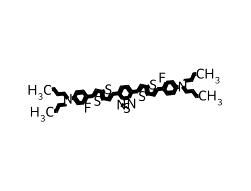 CCCCN(CCCC)c1ccc(-c2cc3sc(-c4ccc(-c5cc6sc(-c7ccc(N(CCCC)CCCC)cc7F)cc6s5)c5nsnc45)cc3s2)c(F)c1